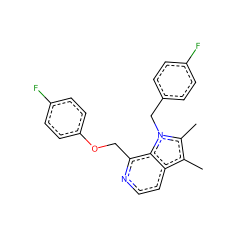 Cc1c(C)n(Cc2ccc(F)cc2)c2c(COc3ccc(F)cc3)nccc12